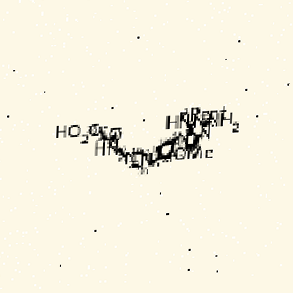 CCCCCNc1nc(N)nc2ccn(Cc3ccc(CN4CCN(CCNC(=O)CCC(=O)O)CC4)cc3OC)c12